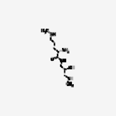 CNCCC[C@H](N)C(=O)NCC(O)CNC